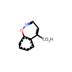 O=C(O)C1=CC=NOc2ccccc21